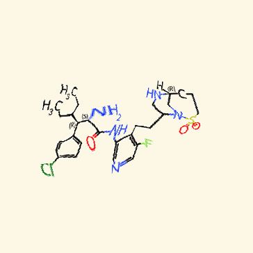 CCC(CC)[C@H](c1ccc(Cl)cc1)[C@H](N)C(=O)Nc1cncc(F)c1CCC1CN[C@@H]2CCCS(=O)(=O)N1C2